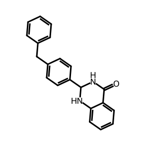 O=C1NC(c2ccc(Cc3ccccc3)cc2)Nc2ccccc21